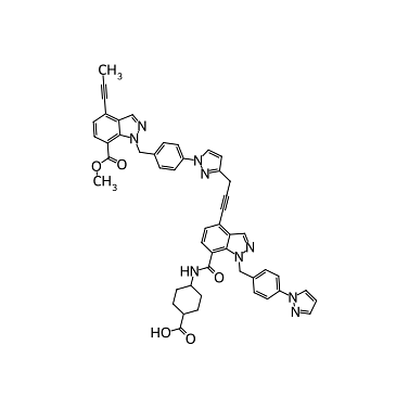 CC#Cc1ccc(C(=O)OC)c2c1cnn2Cc1ccc(-n2ccc(CC#Cc3ccc(C(=O)NC4CCC(C(=O)O)CC4)c4c3cnn4Cc3ccc(-n4cccn4)cc3)n2)cc1